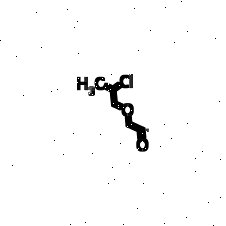 CC(Cl)COC[C]=O